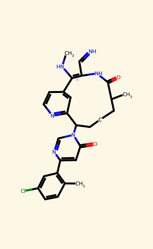 CN/C1=C(\C=N)NC(=O)C(C)CCCC(n2cnc(-c3cc(Cl)ccc3C)cc2=O)c2cc1ccn2